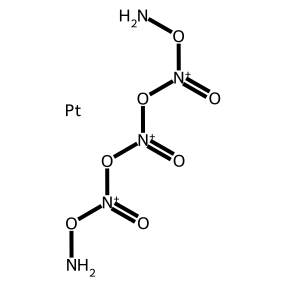 NO[N+](=O)O[N+](=O)O[N+](=O)ON.[Pt]